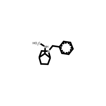 O=C(O)NC1C2CCC1N(Cc1ccccc1)C2